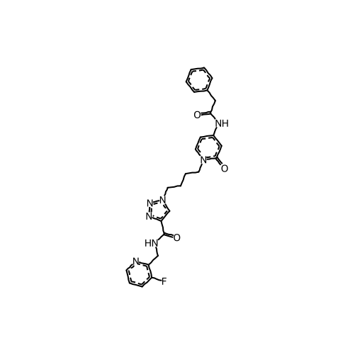 O=C(Cc1ccccc1)Nc1ccn(CCCCn2cc(C(=O)NCc3ncccc3F)nn2)c(=O)c1